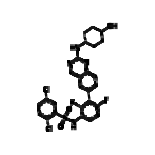 O=S(=O)(Nc1ccc(F)c(-c2ccc3nc(NC4CCC(O)CC4)ncc3c2)c1F)c1cc(Cl)ccc1Cl